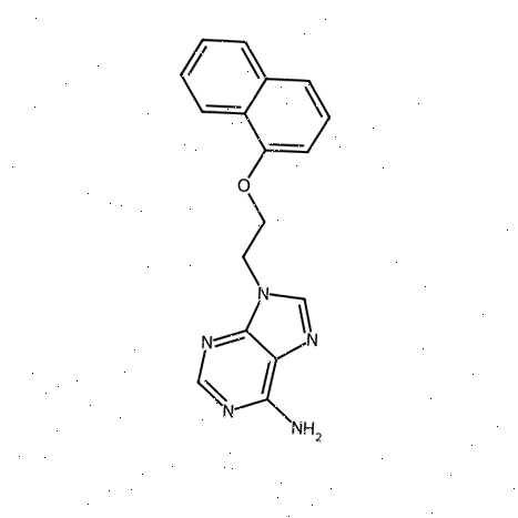 Nc1ncnc2c1ncn2CCOc1cccc2ccccc12